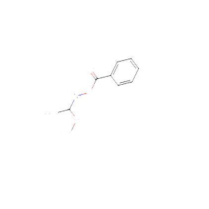 CCCOC(NOC(=O)c1ccccc1)S(=O)(=O)O